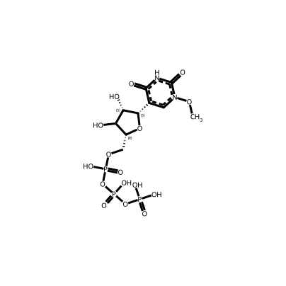 COn1cc([C@@H]2O[C@H](COP(=O)(O)OP(=O)(O)OP(=O)(O)O)C(O)[C@@H]2O)c(=O)[nH]c1=O